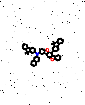 CC1(C)c2ccccc2-c2ccc(-c3c4oc5ccc(N(c6ccc7c(c6)C(C)(C)c6ccccc6-7)c6ccc7ccccc7c6)cc5c4cc4oc5ccccc5c34)cc21